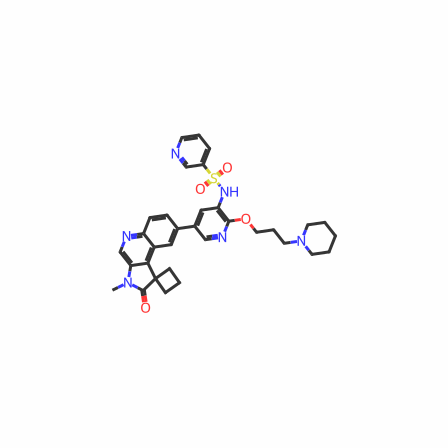 CN1C(=O)C2(CCC2)c2c1cnc1ccc(-c3cnc(OCCCN4CCCCC4)c(NS(=O)(=O)c4cccnc4)c3)cc21